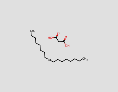 CCCCCCC[CH2][Ba][CH2]CCCCCCC.O=C(O)CC(=O)O